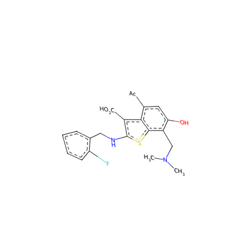 CC(=O)c1cc(O)c(CN(C)C)c2sc(NCc3ccccc3F)c(C(=O)O)c12